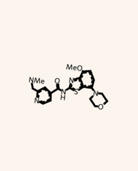 CNCc1cc(C(=O)Nc2nc3c(OC)ccc(N4CCOCC4)c3s2)ccn1